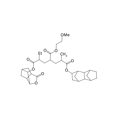 CCC(CC(CC(C)C(=O)OC1CC2CC1C1C3CCC(C3)C21)C(=O)OCCOC)C(=O)OC1C2CC3C(=O)OC1C3C2